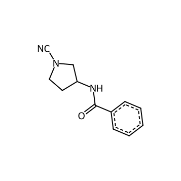 N#CN1CCC(NC(=O)c2ccccc2)C1